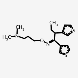 CCC(C(=NOCCCN(C)C)c1ccsc1)c1ccsc1